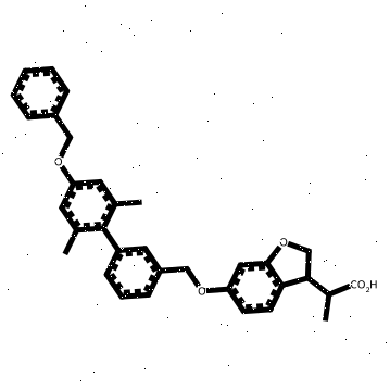 Cc1cc(OCc2ccccc2)cc(C)c1-c1cccc(COc2ccc3c(c2)OCC3C(C)C(=O)O)c1